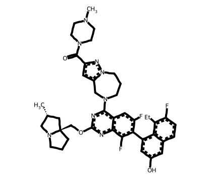 CCc1c(F)ccc2cc(O)cc(-c3c(F)cc4c(N5CCCn6nc(C(=O)N7CCN(C)CC7)cc6C5)nc(OC[C@@]56CCCN5C[C@H](C)C6)nc4c3F)c12